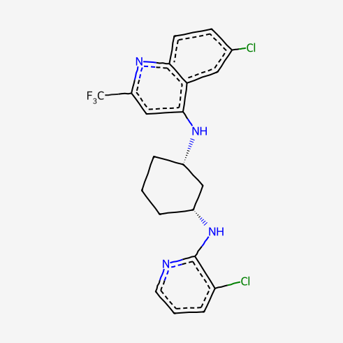 FC(F)(F)c1cc(N[C@H]2CCC[C@@H](Nc3ncccc3Cl)C2)c2cc(Cl)ccc2n1